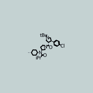 CC(C)C(=O)N([C@H]1CCN(C(=O)[C@@H]2CN(C(C)(C)C)C[C@H]2c2ccc(Cl)cc2)C1)[C@H]1CC[C@@H](C)CC1